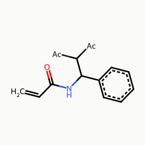 C=CC(=O)NC(c1ccccc1)C(C(C)=O)C(C)=O